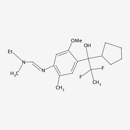 CCN(C)/C=N/c1cc(OC)c(C(O)(C2CCCC2)C(C)(F)F)cc1C